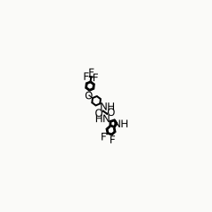 O=C(Nc1c[nH]c2cc(F)c(F)cc12)C(=O)N[C@H]1CC[C@H](Oc2ccc(C(F)(F)F)cc2)CC1